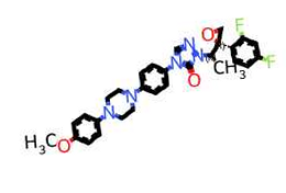 COc1ccc(N2CCN(c3ccc(-n4cnn([C@H](C)[C@]5(c6ccc(F)cc6F)CO5)c4=O)cc3)CC2)cc1